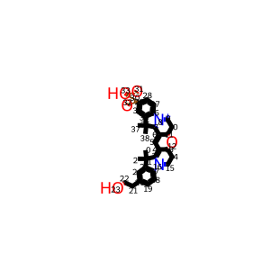 CC1(C)C2=C3C=C4C5=[N+](CCC4OC3CCN2c2ccc(CCO)cc21)c1ccc(S(=O)(=O)O)cc1C5(C)C